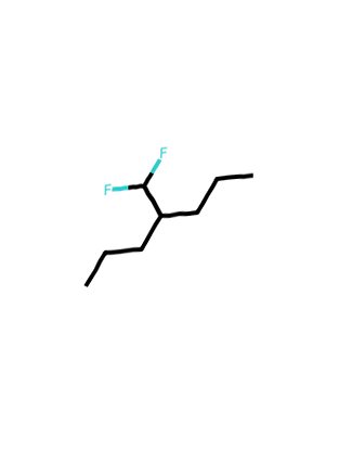 CCCC(CCC)C(F)F